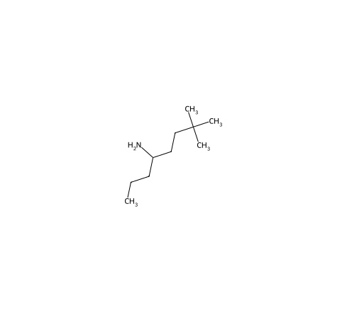 CCCC(N)CCC(C)(C)C